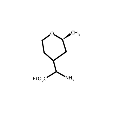 CCOC(=O)C(N)C1CCO[C@@H](C)C1